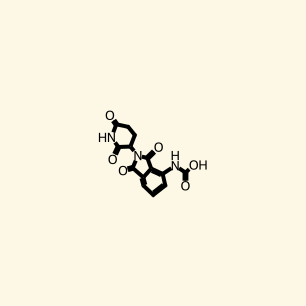 O=C(O)Nc1cccc2c1C(=O)N(C1CCC(=O)NC1=O)C2=O